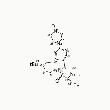 CN1CCN(c2ccc(CN(C(=O)c3cccn3C)C3CCC(C(C)(C)C)CC3)cn2)CC1